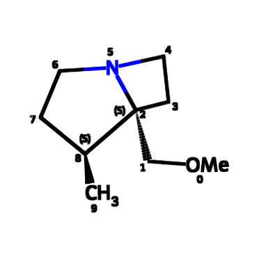 COC[C@@]12CCN1CC[C@@H]2C